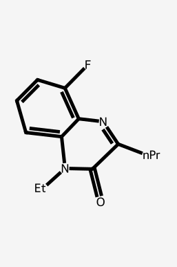 CCCc1nc2c(F)cccc2n(CC)c1=O